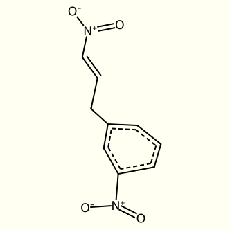 O=[N+]([O-])C=CCc1cccc([N+](=O)[O-])c1